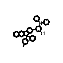 Cc1ccc(C2(c3ccccc3)c3cc(-c4cc(Cl)cc(N(c5ccccc5)c5ccccc5)c4)ccc3-c3cc4ccccc4cc32)cc1